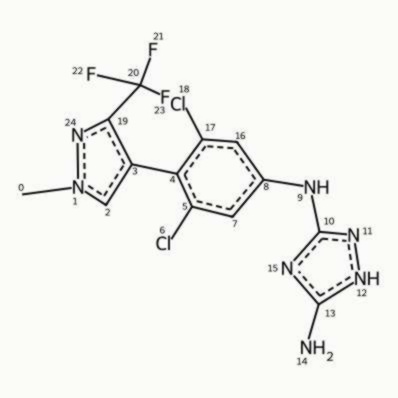 Cn1cc(-c2c(Cl)cc(Nc3n[nH]c(N)n3)cc2Cl)c(C(F)(F)F)n1